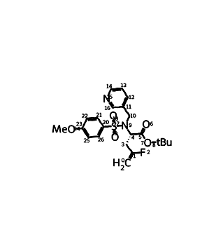 C=C(F)C[C@@H](C(=O)OC(C)(C)C)N(Cc1cccnc1)S(=O)(=O)c1ccc(OC)cc1